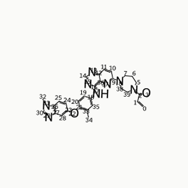 C=CC(=O)N1CCCN(c2ccc3ncnc(Nc4ccc(Oc5ccc6c(c5)ncn6C)c(C)c4)c3n2)CC1